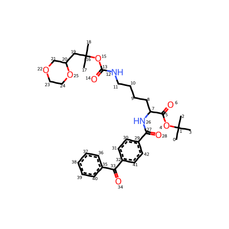 CC(C)(C)OC(=O)C(CCCCNC(=O)OC(C)(C)CC1COCCO1)NC(=O)c1ccc(C(=O)c2ccccc2)cc1